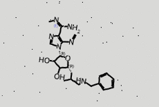 C=Nc1c(/C(N)=N\C)ncn1[C@@H]1O[C@H](CC(C)CNCc2ccccc2)C(O)C1O